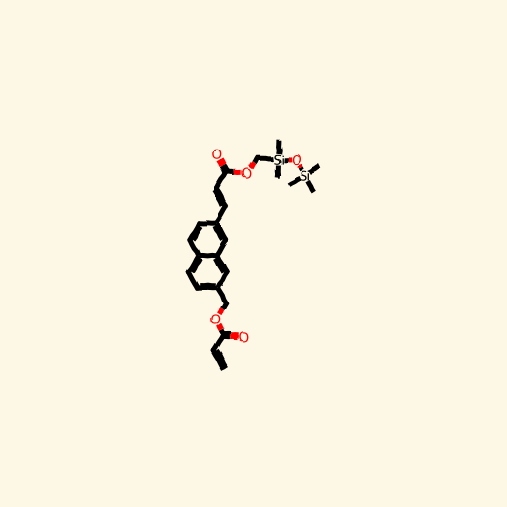 C=CC(=O)OCc1ccc2ccc(/C=C/C(=O)OC[Si](C)(C)O[Si](C)(C)C)cc2c1